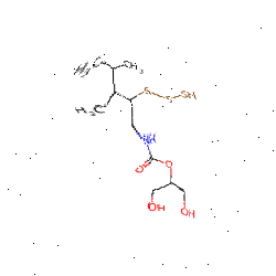 CC(C)C(C)C(CNC(=O)OC(CO)CO)SSS